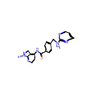 O=C(Nc1ccnc2[nH]ncc12)c1ccc(CNc2ncccn2)cc1